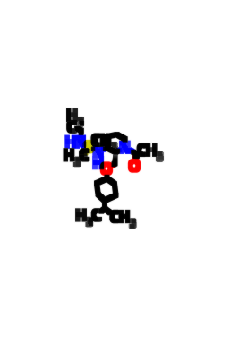 CCNS(C)(C)N[C@H]1CCCN(C(C)=O)[C@H]1COC1CCC(C(C)C)CC1